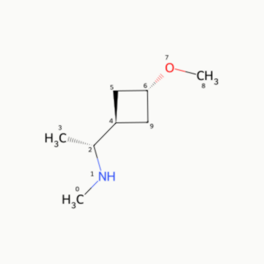 CN[C@H](C)[C@H]1C[C@H](OC)C1